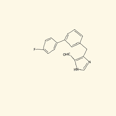 O=Cc1[nH]cnc1Cc1cccc(-c2ccc(F)cc2)c1